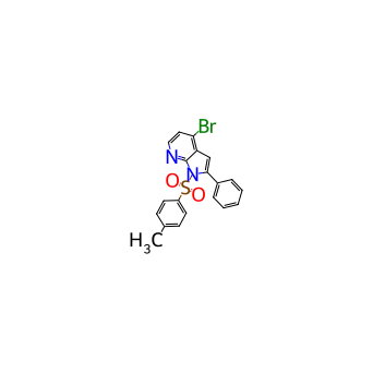 Cc1ccc(S(=O)(=O)n2c(-c3ccccc3)cc3c(Br)ccnc32)cc1